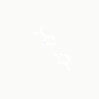 Cc1cnn(Cc2nc(C(C)C)cs2)c1